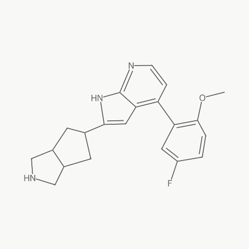 COc1ccc(F)cc1-c1ccnc2[nH]c(C3CC4CNCC4C3)cc12